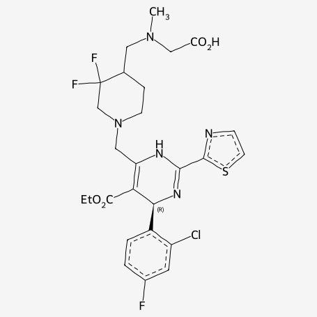 CCOC(=O)C1=C(CN2CCC(CN(C)CC(=O)O)C(F)(F)C2)NC(c2nccs2)=N[C@H]1c1ccc(F)cc1Cl